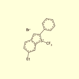 CCc1ccc2cc(-c3ccccc3)[s+](C(F)(F)F)c2c1.[Br-]